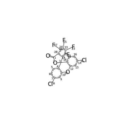 O=C1OC2(c3ccc(Cl)cc3Oc3cc(Cl)ccc32)c2c(F)c(F)c(F)c(F)c21